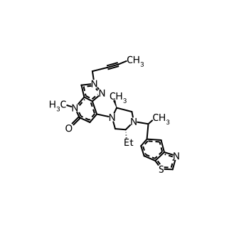 CC#CCn1cc2c(n1)c(N1C[C@@H](CC)N(C(C)c3ccc4scnc4c3)C[C@@H]1C)cc(=O)n2C